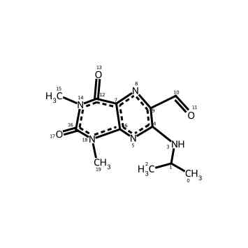 CC(C)Nc1nc2c(nc1C=O)c(=O)n(C)c(=O)n2C